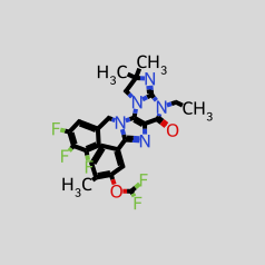 CCN1C(=O)c2nc(-c3ccc(C)c(OC(F)F)c3)n(Cc3cc(F)c(F)c(F)c3)c2N2CC(C)(C)N=C12